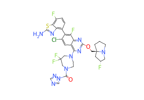 Nc1nc2c(-c3c(Cl)cc4c(N5CCN(C(=O)n6cncn6)CC(F)(F)C5)nc(OC[C@@]56CCCN5C[C@H](F)C6)nc4c3F)ccc(F)c2s1